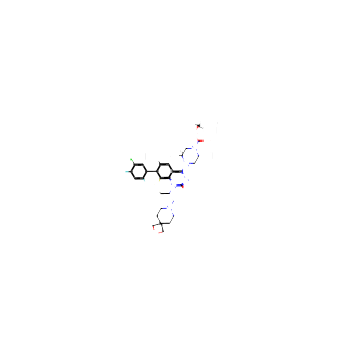 Cc1cc2c(N3C[C@@H](C)N(C(=O)OC(C)(C)C)C[C@@H]3C)nc(=O)n3c2c(c1-c1cc(Cl)c(F)cc1F)SC[C@@H]3CN1CCC2(CC1)COC2